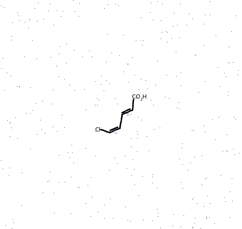 O=C(O)/C=C/C=C\Cl